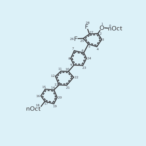 CCCCCCCCOc1ccc(-c2ccc(-c3ccc(-c4ccc(CCCCCCCC)cc4)cc3)cc2)c(F)c1F